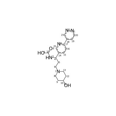 O=C(O)NC(CCN1CCC(O)CC1)c1ccc(-c2ccnnc2)nc1